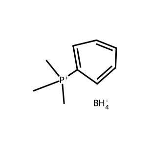 C[P+](C)(C)c1ccccc1.[BH4-]